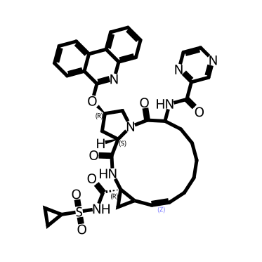 O=C(NC1CCCCC/C=C\C2C[C@@]2(C(=O)NS(=O)(=O)C2CC2)NC(=O)[C@@H]2C[C@@H](Oc3nc4ccccc4c4ccccc34)CN2C1=O)c1cnccn1